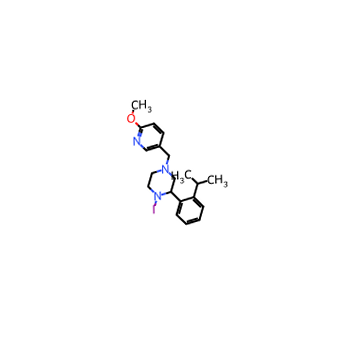 COc1ccc(CN2CCN(I)C(c3ccccc3C(C)C)C2)cn1